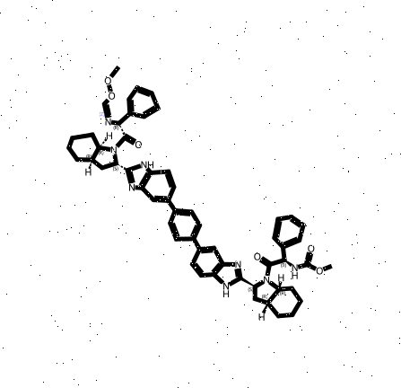 COO/C=N\[C@@H](C(=O)N1[C@@H]2CCCC[C@@H]2C[C@H]1c1nc2cc(-c3ccc(-c4ccc5[nH]c([C@@H]6C[C@H]7CCCC[C@H]7N6C(=O)[C@H](NC(=O)OC)c6ccccc6)nc5c4)cc3)ccc2[nH]1)c1ccccc1